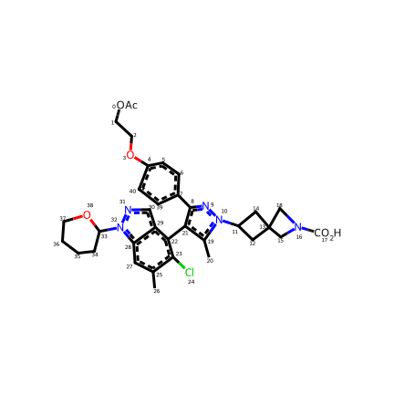 CC(=O)OCCOc1ccc(-c2nn(C3CC4(C3)CN(C(=O)O)C4)c(C)c2-c2c(Cl)c(C)cc3c2cnn3C2CCCCO2)cc1